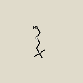 C[Si](C)(C)CCOCS